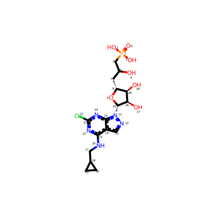 O=P(O)(O)CC(O)C[C@H]1O[C@@H](n2ncc3c(NCC4CC4)nc(Cl)nc32)[C@H](O)[C@@H]1O